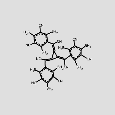 Bc1c(C#N)c(B)c(C(C#N)=C2C(=C(C#N)c3c(B)c(C#N)c(B)c(C#N)c3B)C2=C(C#N)c2c(B)c(C#N)c(B)c(C#N)c2B)c(B)c1C#N